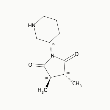 C[C@H]1C(=O)N([C@H]2CCCNC2)C(=O)[C@@H]1C